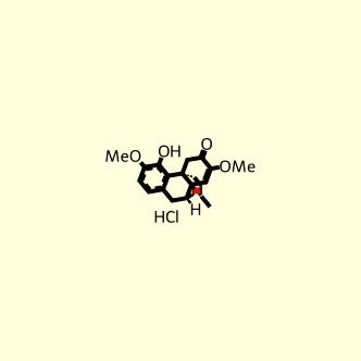 COC1=C[C@@H]2[C@H]3Cc4ccc(OC)c(O)c4[C@@]2(CCN3C)CC1=O.Cl